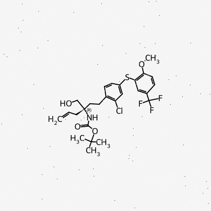 C=CC[C@@](CO)(CCc1ccc(Sc2cc(C(F)(F)F)ccc2OC)cc1Cl)NC(=O)OC(C)(C)C